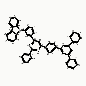 c1ccc(-c2cc(-c3ccccc3)cc(-c3ccc(-c4cc(-c5cccc(-n6c7ccccc7c7ccccc76)c5)nc(-c5ccccc5)n4)cc3)c2)cc1